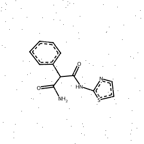 NC(=O)C(C(=O)Nc1nccs1)c1ccccc1